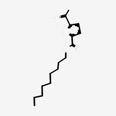 CCCCCCCCCOC(=O)c1ccc(C(C)=O)o1